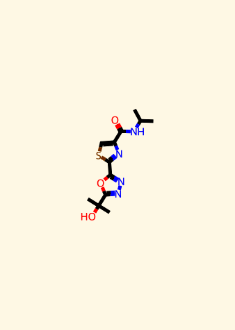 CC(C)NC(=O)c1csc(-c2nnc(C(C)(C)O)o2)n1